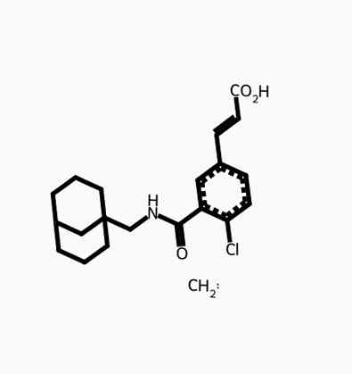 O=C(O)C=Cc1ccc(Cl)c(C(=O)NCC23CCCC(CCC2)C3)c1.[CH2]